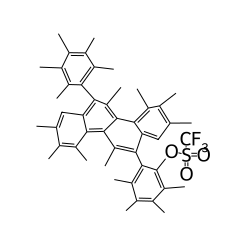 Cc1cc2c(-c3c(C)c(C)c(C)c(C)c3C)c(C)c3c4c(C)c(C)c(C)cc4c(-c4c(C)c(C)c(C)c(C)c4OS(=O)(=O)C(F)(F)F)c(C)c3c2c(C)c1C